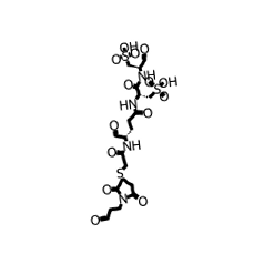 O=CCCN1C(=O)CC(SCC(=O)N[C@H](C=O)CCC(=O)N[C@@H](CS(=O)(=O)O)C(=O)N[C@H](C=O)CS(=O)(=O)O)C1=O